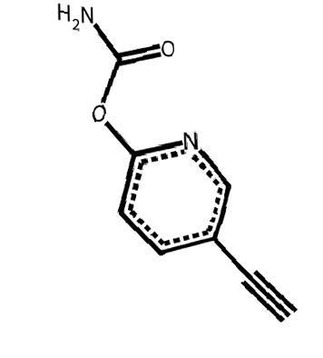 C#Cc1ccc(OC(N)=O)nc1